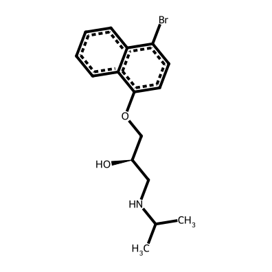 CC(C)NC[C@@H](O)COc1ccc(Br)c2ccccc12